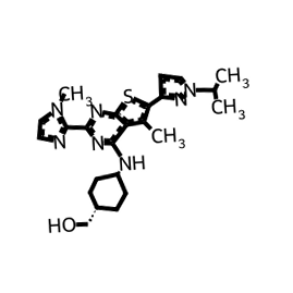 Cc1c(-c2ccn(C(C)C)n2)sc2nc(-c3nccn3C)nc(N[C@H]3CC[C@@H](CO)CC3)c12